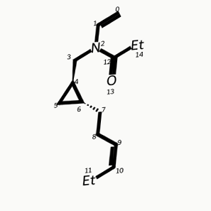 C=CN(C[C@@H]1C[C@H]1CC/C=C\CC)C(=O)CC